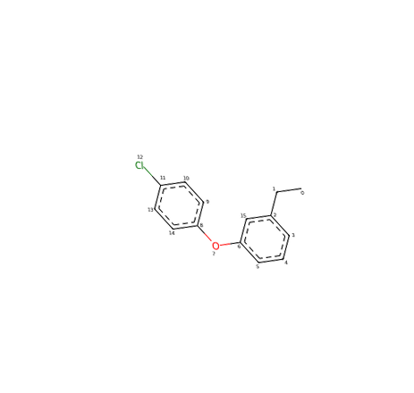 CCc1cccc(Oc2ccc(Cl)cc2)c1